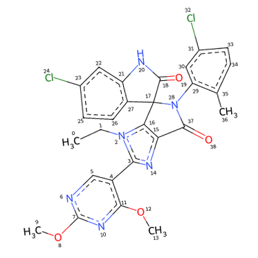 CCn1c(-c2cnc(OC)nc2OC)nc2c1C1(C(=O)Nc3cc(Cl)ccc31)N(c1cc(Cl)ccc1C)C2=O